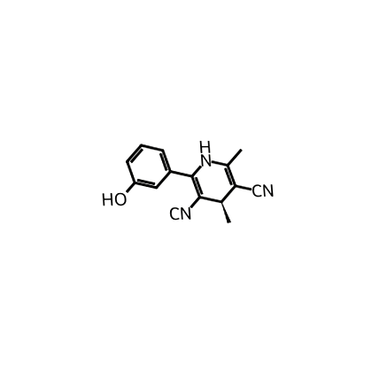 [C-]#[N+]C1=C(c2cccc(O)c2)NC(C)=C(C#N)[C@H]1C